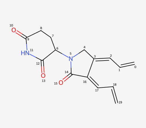 C=C/C=C1/CN(C2CCC(=O)NC2=O)C(=O)/C1=C/C=C